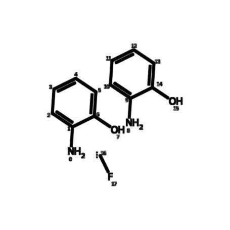 Nc1ccccc1O.Nc1ccccc1O.[C]F